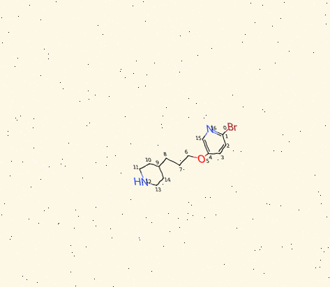 Brc1ccc(OCCCC2CCNCC2)cn1